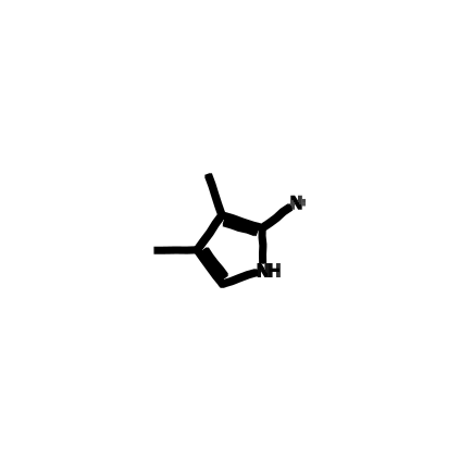 Cc1c[nH]c([N])c1C